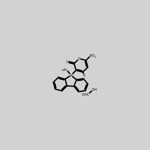 CCC[N+]1(c2[c]([K])cc([N+](=O)[O-])oc2=O)c2ccccc2-c2ccccc21.O=CO